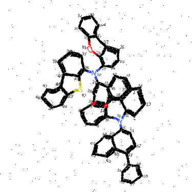 c1ccc(-c2ccccc2N(c2ccccc2-c2cccc(N(c3cccc4c3oc3ccccc34)c3cccc4c3sc3ccccc34)c2)c2ccc(-c3ccccc3)c3ccccc23)cc1